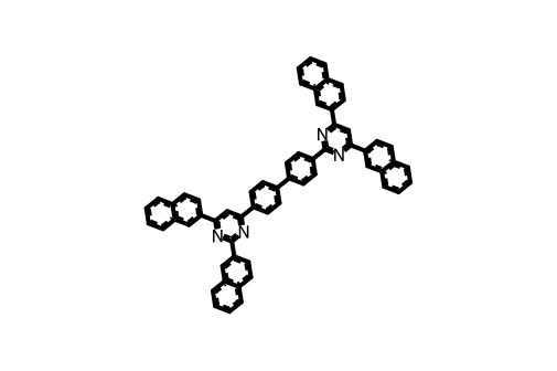 c1ccc2cc(-c3cc(-c4ccc5ccccc5c4)nc(-c4ccc(-c5ccc(-c6cc(-c7ccc8ccccc8c7)nc(-c7ccc8ccccc8c7)n6)cc5)cc4)n3)ccc2c1